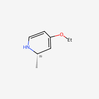 CCOC1=C[C@H](C)NC=C1